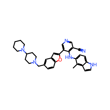 Cc1c(Nc2c(C#N)cncc2-c2cc3cc(CN4CCC(N5CCCCC5)CC4)ccc3o2)ccc2[nH]ccc12